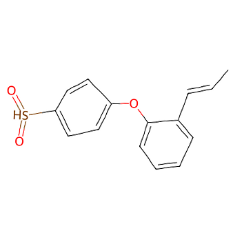 CC=Cc1ccccc1Oc1ccc([SH](=O)=O)cc1